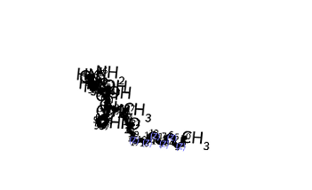 CC/C=C\C/C=C\C/C=C\C/C=C\C/C=C\C/C=C\CCC(=O)NCCN(C)CCNP(=O)(OC[C@H]1O[C@@H](n2cnc3c(=O)[nH]c(N)nc32)[C@](C)(O)[C@@H]1O)Oc1ccccc1